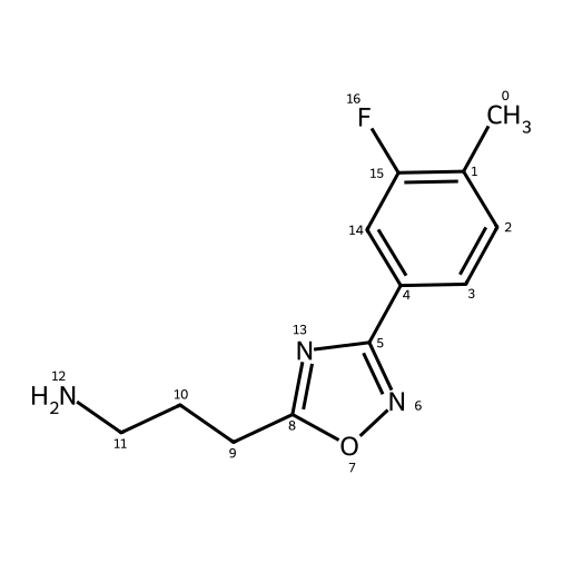 Cc1ccc(-c2noc(CCCN)n2)cc1F